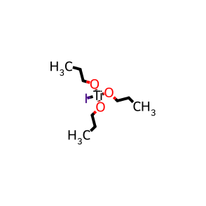 CCC[O][Ti]([I])([O]CCC)[O]CCC